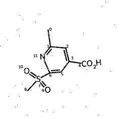 Cc1cc(C(=O)O)cc(S(C)(=O)=O)n1